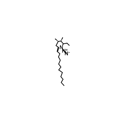 CCCCCCCCCCCC=CC[C@@H](C)[C@@H](C)C(CC)N=[N+]=[N-]